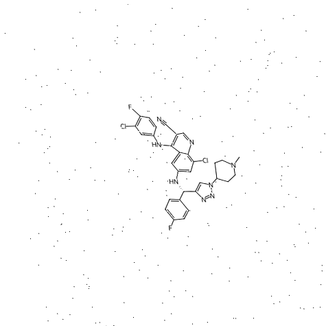 CN1CCC(n2cc([C@@H](Nc3cc(Cl)c4ncc(C#N)c(Nc5ccc(F)c(Cl)c5)c4c3)c3ccc(F)cc3)nn2)CC1